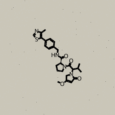 COC1=CC(=O)N(C(C(=O)N2CCC[C@H]2C(=O)NCc2ccc(-c3scnc3C)cc2)C(C)C)C1